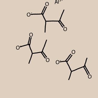 CC(=O)C(C)C(=O)[O-].CC(=O)C(C)C(=O)[O-].CC(=O)C(C)C(=O)[O-].[Al+3]